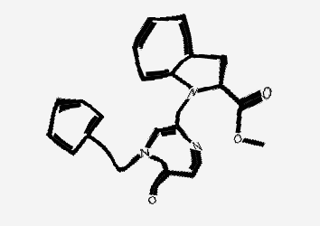 COC(=O)C1Cc2ccccc2N1c1cn(Cc2ccccc2)c(=O)cn1